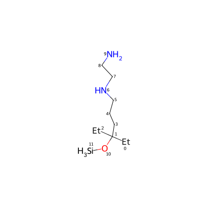 CCC(CC)(CCCNCCN)O[SiH3]